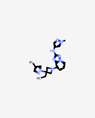 CC(C)c1cnn(C2(CC#N)CN(c3cccn4nc(Nc5cnn(C)c5)nc34)C2)c1